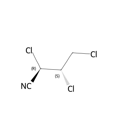 N#C[C@@H](Cl)[C@@H](Cl)CCl